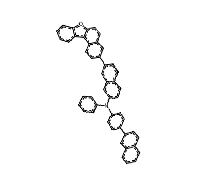 c1ccc(N(c2ccc(-c3ccc4ccccc4c3)cc2)c2ccc3ccc(-c4ccc5c(ccc6oc7ccccc7c65)c4)cc3c2)cc1